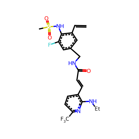 C=Cc1cc(CNC(=O)/C=C/c2ccc(C(F)(F)F)nc2NCC)cc(F)c1NS(C)(=O)=O